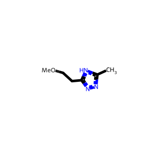 COCCc1nnc(C)[nH]1